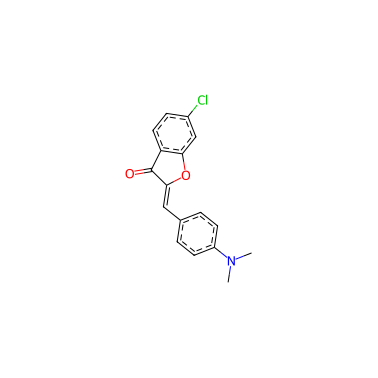 CN(C)c1ccc(/C=C2\Oc3cc(Cl)ccc3C2=O)cc1